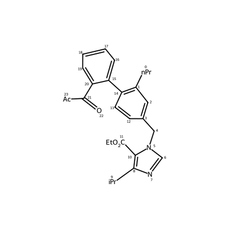 CCCc1cc(Cn2cnc(C(C)C)c2C(=O)OCC)ccc1-c1ccccc1C(=O)C(C)=O